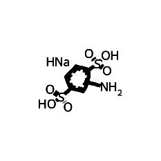 Nc1cc(S(=O)(=O)O)ccc1S(=O)(=O)O.[NaH]